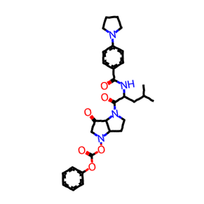 CC(C)CC(NC(=O)c1ccc(N2CCCC2)cc1)C(=O)N1CCC2C1C(=O)CN2OC(=O)Oc1ccccc1